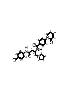 O=C(CC(CN1CCCC1)NC(=O)c1ccc(-n2ccccc2=O)cc1)Nc1ccc(Cl)cc1